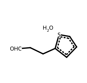 O.O=CCCc1cccs1